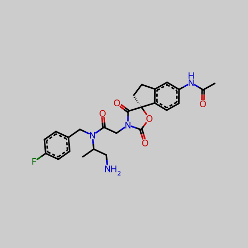 CC(=O)Nc1ccc2c(c1)CC[C@@]21OC(=O)N(CC(=O)N(Cc2ccc(F)cc2)C(C)CN)C1=O